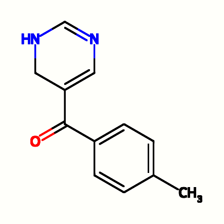 Cc1ccc(C(=O)C2=CN=CNC2)cc1